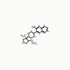 COC1COCC1(C)N1CCC(c2cc3n[c]ncc3cc2Cl)CC1